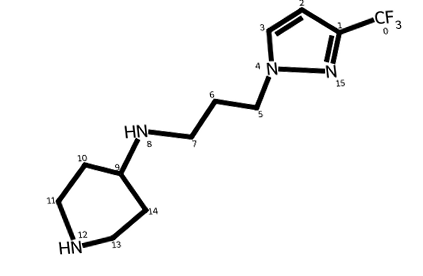 FC(F)(F)c1ccn(CCCNC2CCNCC2)n1